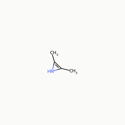 CC1=C(C)N1